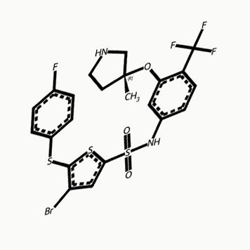 C[C@@]1(Oc2cc(NS(=O)(=O)c3cc(Br)c(Sc4ccc(F)cc4)s3)ccc2C(F)(F)F)CCNC1